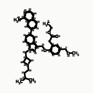 CCOC(=O)Cc1cc(COC)ccc1OCc1nn(CC2CN(CCC(C)C)C2)c2ccc(-c3ccc4ccnc(N)c4c3)cc12